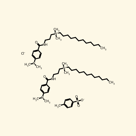 CCCCCCCCCCCC[N+](C)(C)CCCNC(=O)c1ccc(N(C)C)cc1.CCCCCCCCCCCC[N+](C)(C)CCCNC(=O)c1ccc(N(C)C)cc1.Cc1ccc(S(=O)(=O)[O-])cc1.[Cl-]